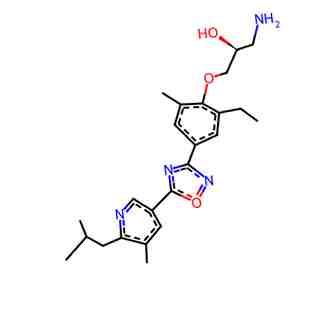 CCc1cc(-c2noc(-c3cnc(CC(C)C)c(C)c3)n2)cc(C)c1OC[C@@H](O)CN